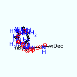 CCCCCCCCCCCCCCCC(=O)NCCOCCOCCNC(=O)COCC(=O)N[C@@H](CO)C(=O)N[C@@H](CCCC)C(=O)NC1C(=O)CCCNCCCC[C@@H](C(N)=O)NC(=O)[C@H](Cc2c[nH]c3ccccc23)NC(=O)[C@H](CCCNC(=N)N)NC(=O)[C@@H](Cc2ccccc2)NC(=O)[C@H](CC(N)=O)NC1=O